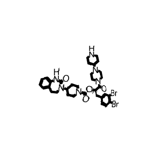 O=C(O[C@H](Cc1ccc(Br)c(Br)c1)C(=O)N1CCN(C2CCNCC2)CC1)N1CCC(N2CCc3ccccc3NC2=O)CC1